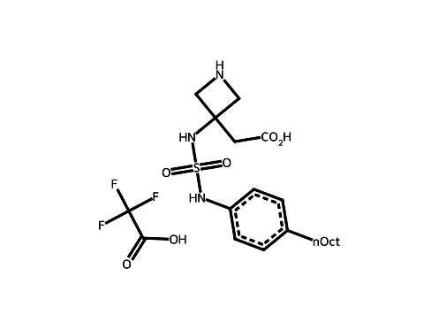 CCCCCCCCc1ccc(NS(=O)(=O)NC2(CC(=O)O)CNC2)cc1.O=C(O)C(F)(F)F